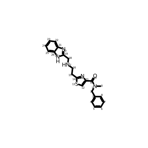 CN(Cc1ccccc1)C(=O)c1csc(CCNCc2nc3ccccc3[nH]2)n1